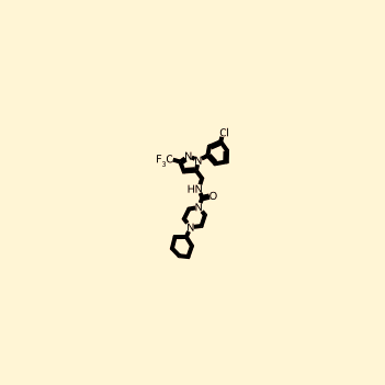 O=C(NCc1cc(C(F)(F)F)nn1-c1cccc(Cl)c1)N1CCN(C2CCCCC2)CC1